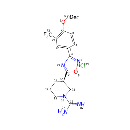 CCCCCCCCCCOc1ccc(-c2noc([C@@H]3CCCN(C(=N)N)C3)n2)cc1C(F)(F)F.Cl